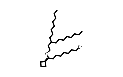 CCCCCCCCC(CCCCCCCC)CCOC(CCCCCCCBr)=C1CCC1